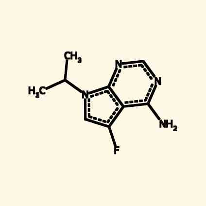 CC(C)n1cc(F)c2c(N)ncnc21